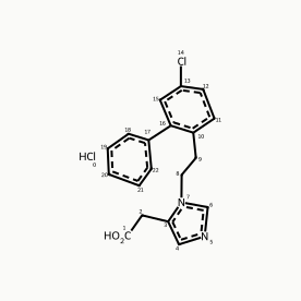 Cl.O=C(O)Cc1cncn1CCc1ccc(Cl)cc1-c1ccccc1